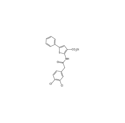 CCOC(=O)c1cc(-c2ccccc2)sc1NC(=O)Cc1ccc(Cl)c(Cl)c1